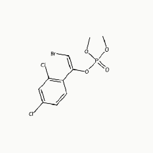 COP(=O)(OC)O/C(=C/Br)c1ccc(Cl)cc1Cl